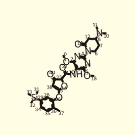 COc1nc(N2CCC(N(C)C)CC2=O)nc(OC)c1NC(=O)C1OC(Oc2cc([Si](C)(C)C)ccc2C)=CC1=O